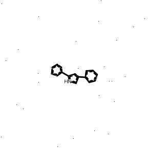 [c]1ccc(-c2cc(-c3ccccc3)c[nH]2)cc1